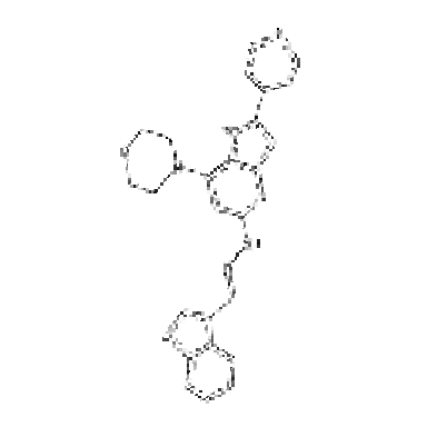 C(=N\Nc1cc(N2CCOCC2)n2nc(-c3ccncc3)cc2n1)/c1coc2ccccc12